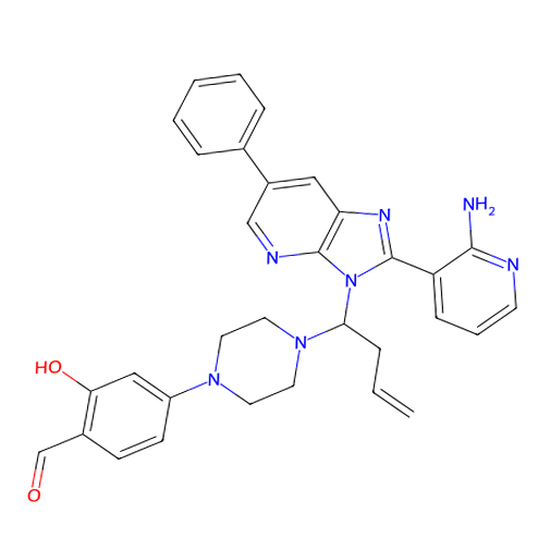 C=CCC(N1CCN(c2ccc(C=O)c(O)c2)CC1)n1c(-c2cccnc2N)nc2cc(-c3ccccc3)cnc21